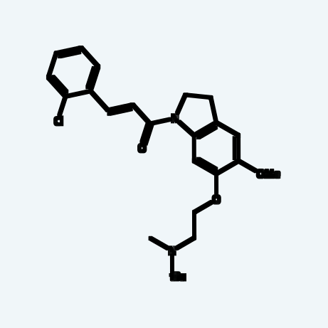 COc1cc2c(cc1OCCN(C)C(C)(C)C)N(C(=O)C=Cc1ccccc1Cl)CC2